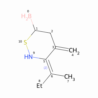 BC1CC(=C)/C(=C(\C)CC)NS1